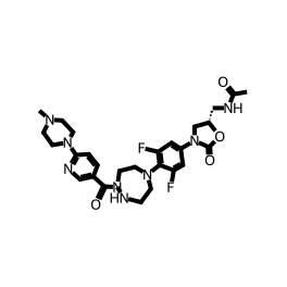 CC(=O)NC[C@H]1CN(c2cc(F)c(N3CCNN(C(=O)c4ccc(N5CCN(C)CC5)nc4)CC3)c(F)c2)C(=O)O1